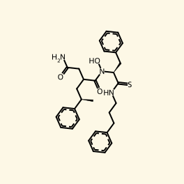 C[C@H](CC(CC(N)=O)C(=O)N(O)[C@@H](Cc1ccccc1)C(=S)NCCCc1ccccc1)c1ccccc1